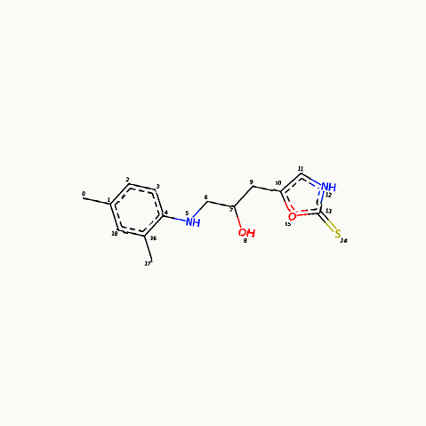 Cc1ccc(NCC(O)Cc2c[nH]c(=S)o2)c(C)c1